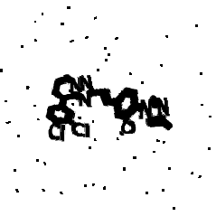 COc1cc(C=Cc2nc3n(n2)CCCC3c2ccc(Cl)c(Cl)c2)ccc1-n1cnc(C)c1